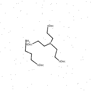 BCCCCCCCCCCCCC.CCCCCCCCCCCCB(CCCCCCCCCCCC)CCCCCCCCCCCC